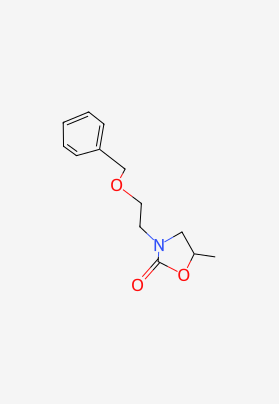 CC1CN(CCOCc2ccccc2)C(=O)O1